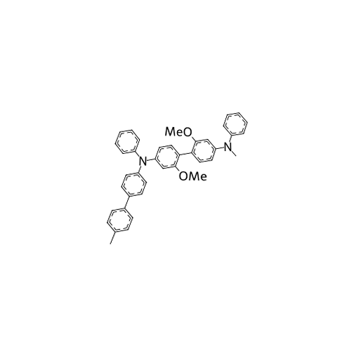 COc1cc(N(C)c2ccccc2)ccc1-c1ccc(N(c2ccccc2)c2ccc(-c3ccc(C)cc3)cc2)cc1OC